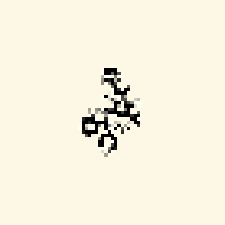 COc1ccccc1[C@H](Cc1cc(C(C)(C)C(=O)O)c(=O)n2c(C)c(-c3ncco3)n(C)c12)OC1CCOCC1